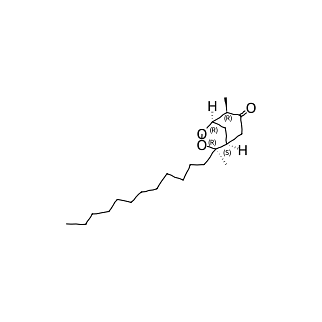 CCCCCCCCCCCC[C@@]1(C)OO[C@@H]2C[C@H]1CC(=O)[C@@H]2C